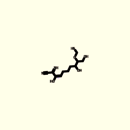 N#CC(=N)/C(O)=C\CCCC(O)C(CO)OCS